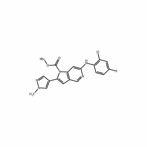 Cn1cc(-c2cc3cnc(Nc4ccc(F)cc4Cl)cc3n2C(=O)OC(C)(C)C)cn1